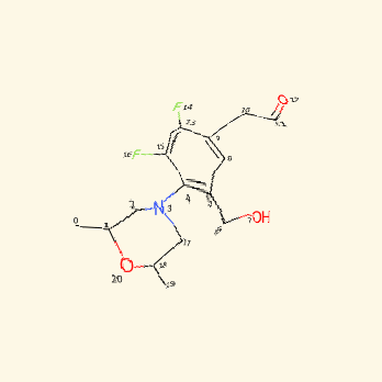 CC1CN(c2c(CO)cc(CC=O)c(F)c2F)CC(C)O1